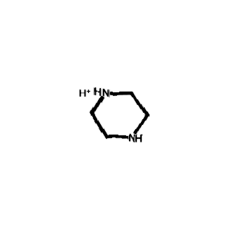 C1CNCCN1.[H+]